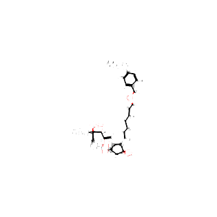 C#CC(O)(CC=C[C@H]1[C@H](O)CC(=O)[C@@H]1CCCCCCCOCc1ccc(OC)cc1)CCCC